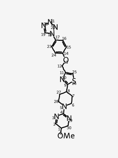 COC1C=NC(N2CCC(c3nc(COc4ccc(-n5cnnn5)cc4)cs3)CC2)=NC1